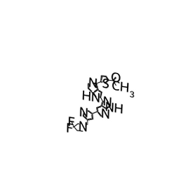 CC(=O)c1ccc(-c2nccc3[nH]c(-c4n[nH]c5ncc(-c6cncc(CN7CCC(F)(F)C7)c6)cc45)cc23)s1